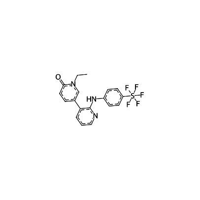 CCn1cc(-c2cccnc2Nc2ccc(S(F)(F)(F)(F)F)cc2)ccc1=O